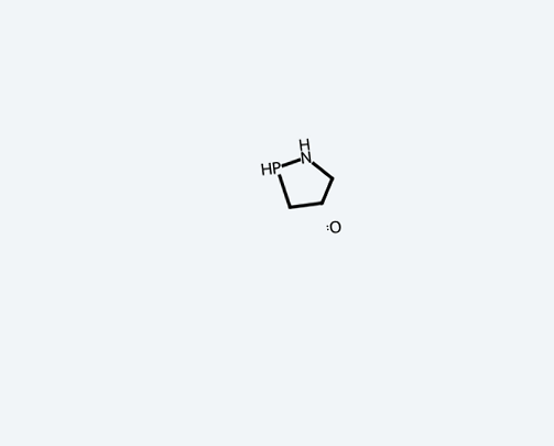 C1CNPC1.[O]